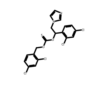 S=C(OCc1ccc(Cl)cc1Cl)OC(Cn1ccnc1)c1ccc(Cl)cc1Cl